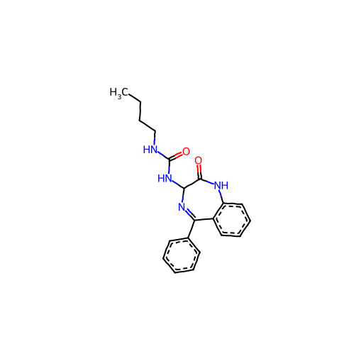 CCCCNC(=O)NC1N=C(c2ccccc2)c2ccccc2NC1=O